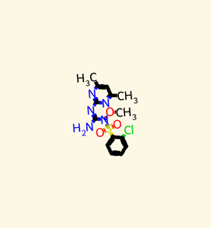 CON(C(N)=Nc1nc(C)cc(C)n1)S(=O)(=O)c1ccccc1Cl